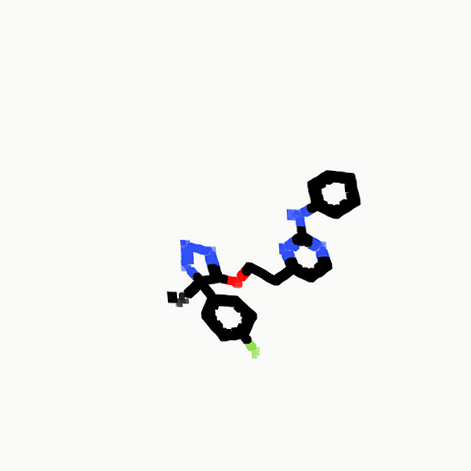 CC1(c2ccc(F)cc2)N=NN=C1OCCc1ccnc(Nc2ccccc2)n1